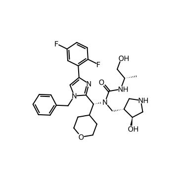 C[C@@H](CO)NC(=O)N(C[C@@H]1CNC[C@H]1O)[C@@H](c1nc(-c2cc(F)ccc2F)cn1Cc1ccccc1)C1CCOCC1